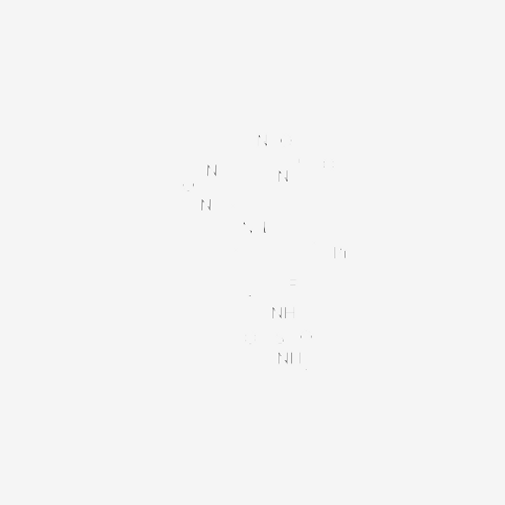 NS(=O)(=O)NC1(CCNc2nonc2-c2noc(=O)n2-c2ccc(F)c(Br)c2)CC1